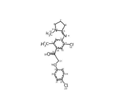 Cc1cc(N=C2CCCN2C)c(Cl)cc1C(=O)COc1ccc(Cl)cc1